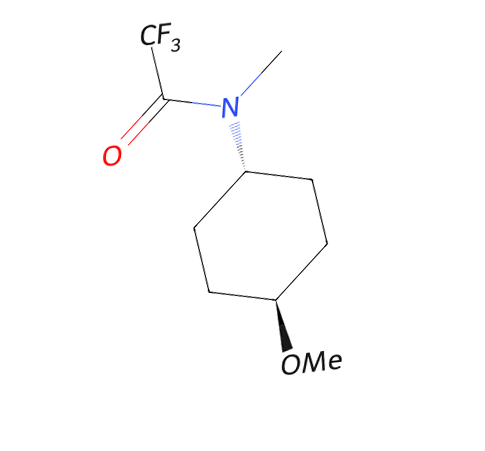 CO[C@H]1CC[C@H](N(C)C(=O)C(F)(F)F)CC1